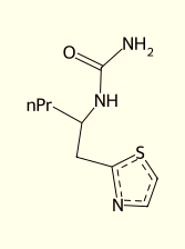 CCCC(Cc1nccs1)NC(N)=O